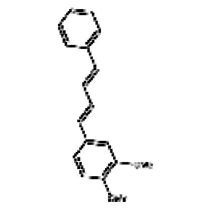 COc1ccc(C=CC=Cc2ccccc2)cc1OC